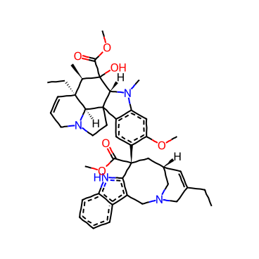 CCC1=C[C@@H]2CN(C1)Cc1c([nH]c3ccccc13)[C@@](C(=O)OC)(c1cc3c(cc1OC)N(C)[C@H]1C(O)(C(=O)OC)[C@H](C)[C@]4(CC)C=CCN5CCC31[C@@H]54)C2